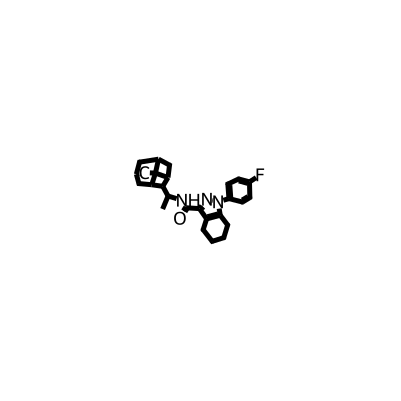 CC(NC(=O)c1nn(-c2ccc(F)cc2)c2c1CCCC2)C1C2CC3CC4CC1C42C3